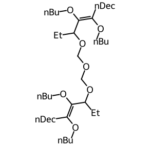 CCCCCCCCCCC(OCCCC)=C(OCCCC)C(CC)OCOCOC(CC)C(OCCCC)=C(CCCCCCCCCC)OCCCC